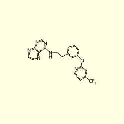 FC(F)(F)c1ccnc(Oc2cccc(CCNc3ncnc4nccnc34)c2)c1